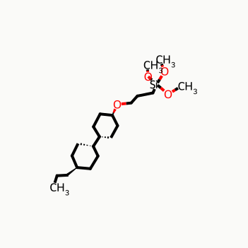 CCC[C@H]1CC[C@H]([C@H]2CC[C@H](OCCC[Si](OC)(OC)OC)CC2)CC1